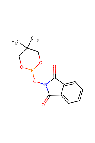 CC1(C)COP(ON2C(=O)c3ccccc3C2=O)OC1